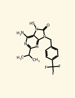 CC(C)c1nc(N)c2c(n1)n(Cc1ccc(C(F)(F)F)cc1)c(=O)n2S